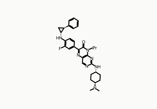 CC(C)n1c(=O)c(-c2ccc(N[C@@H]3C[C@H]3c3ccccc3)c(F)c2)nc2cnc(N[C@H]3CC[C@H](N(C)C)CC3)nc21